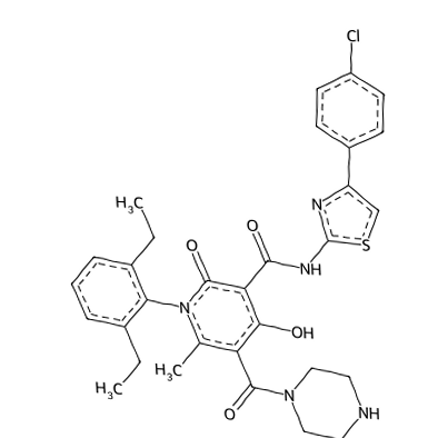 CCc1cccc(CC)c1-n1c(C)c(C(=O)N2CCNCC2)c(O)c(C(=O)Nc2nc(-c3ccc(Cl)cc3)cs2)c1=O